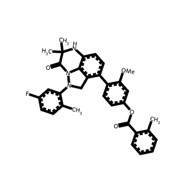 COc1cc(OC(=O)c2ccccc2C)ccc1-c1ccc2c3c1CN(c1cc(F)ccc1C)N3C(=O)C(C)(C)N2